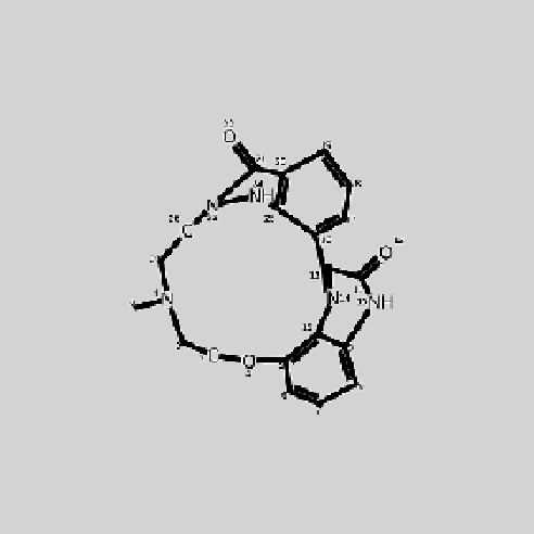 CN1CCOc2cccc3[nH]c(=O)c(nc23)-c2cccc3c(=O)n([nH]c23)CC1